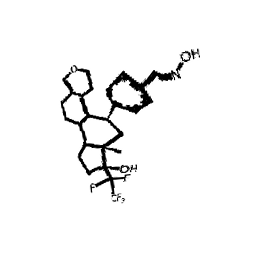 C[C@]12C[C@H](c3ccc(C=NO)cc3)C3=C4CCOC=C4CCC3C1CC[C@@]2(O)C(F)(F)C(F)(F)F